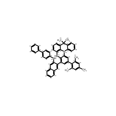 Cc1cc(C)c(-c2cc(-c3cc4ccccc4cc3Nc3ccc(-c4ccccc4)cc3)c3c(c2)N2c4ccccc4C(C)(C)c4cccc(c42)B3)c(C)c1